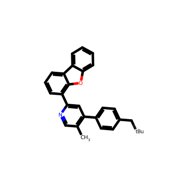 Cc1cnc(-c2cccc3c2oc2ccccc23)cc1-c1ccc(CC(C)(C)C)cc1